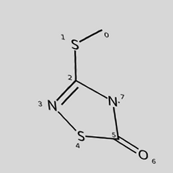 CSC1=NSC(=O)[N]1